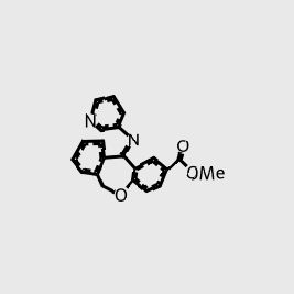 COC(=O)c1ccc2c(c1)C(=Nc1cccnc1)c1ccccc1CO2